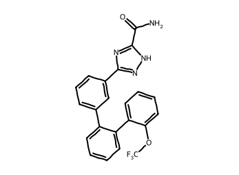 NC(=O)c1nc(-c2cccc(-c3ccccc3-c3ccccc3OC(F)(F)F)c2)n[nH]1